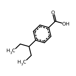 CCC(CC)c1ccc(C(=O)O)cc1